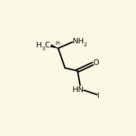 C[C@@H](N)CC(=O)NI